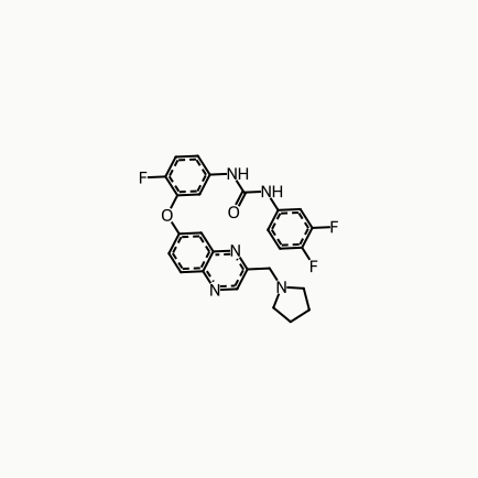 O=C(Nc1ccc(F)c(F)c1)Nc1ccc(F)c(Oc2ccc3ncc(CN4CCCC4)nc3c2)c1